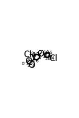 C[C@H]1CO[C](c2ccc(Oc3ccc(Cl)cc3)cc2Cl)O1